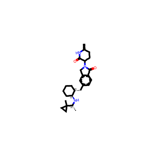 C=C1CCC(N2Cc3cc(C[C@H]4CCCC[C@@H]4N[C@H](C)C4(C)CC4)ccc3C2=O)C(=O)N1